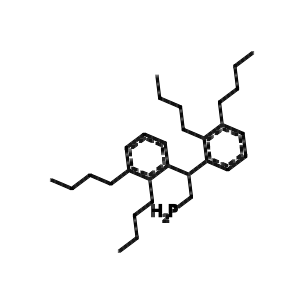 CCCCc1cccc(C(CP)c2cccc(CCCC)c2CCCC)c1CCCC